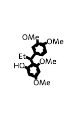 CCC(c1ccc(OC)c(OC)c1)c1c(O)cc(OC)cc1OC